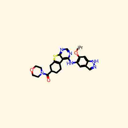 CC(C)Oc1cc2[nH]ncc2cc1Nc1ncnc2sc3c(c12)CCC(C(=O)N1CCOCC1)C3